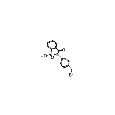 O=C(O)c1ccccc1C(=O)Nc1ccc(CBr)cc1